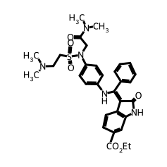 CCOC(=O)c1ccc2c(c1)NC(=O)C2=C(Nc1ccc(N(CC(=O)N(C)C)S(=O)(=O)CCN(C)C)cc1)c1ccccc1